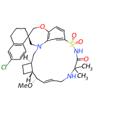 CO[C@H]1/C=C/CNC(C)(C)C(=O)NS(=O)(=O)c2ccc3c(c2)N(C[C@@H]2CC[C@H]21)C[C@@]1(CCCc2cc(Cl)ccc21)CO3